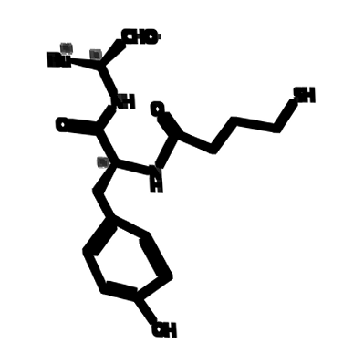 CC[C@H](C)[C@@H]([C]=O)NC(=O)[C@H](Cc1ccc(O)cc1)NC(=O)CCCS